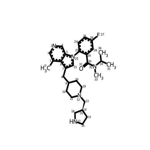 Cc1cncc2c1c(CC1CCN(C[C@H]3CCNC3)CC1)cn2-c1ccc(F)cc1C(=O)N(C)C(C)C